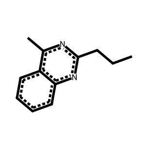 CCCc1nc(C)c2ccccc2n1